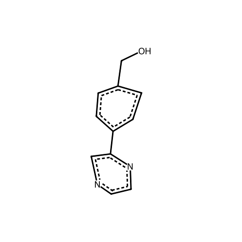 OCc1ccc(-c2cnccn2)cc1